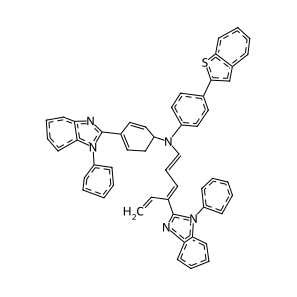 C=C/C(=C\C=C\N(c1ccc(-c2cc3ccccc3s2)cc1)C1C=CC(c2nc3ccccc3n2-c2ccccc2)=CC1)c1nc2ccccc2n1-c1ccccc1